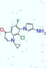 Nc1ccn(-c2c(F)cc3c(=O)ccn(C4CC4)c3c2Cl)c1